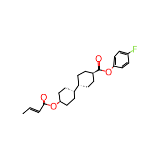 CC=CC(=O)O[C@H]1CC[C@H]([C@H]2CC[C@H](C(=O)Oc3ccc(F)cc3)CC2)CC1